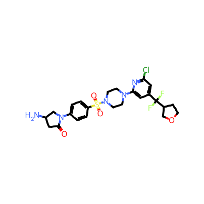 NC1CC(=O)N(c2ccc(S(=O)(=O)N3CCN(c4cc(C(F)(F)C5CCOC5)cc(Cl)n4)CC3)cc2)C1